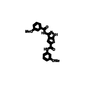 COc1cccc(NC(=O)c2cc3c(NC(=O)c4cccc(OC)c4)n[nH]c3s2)c1